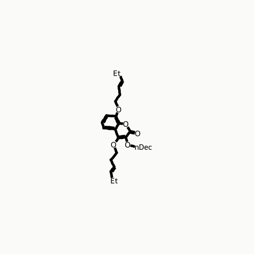 CCC=CCCOc1c(OCCCCCCCCCC)c(=O)oc2c(OCCC=CCC)cccc12